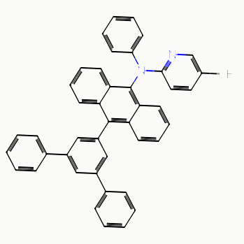 FC(F)(F)c1ccc(N(c2ccccc2)c2c3ccccc3c(-c3cc(-c4ccccc4)cc(-c4ccccc4)c3)c3ccccc23)nc1